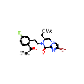 COC[C@H]1Cn2cc(Br)nc2C(=O)N1CCc1cc(F)ccc1C(=O)OC